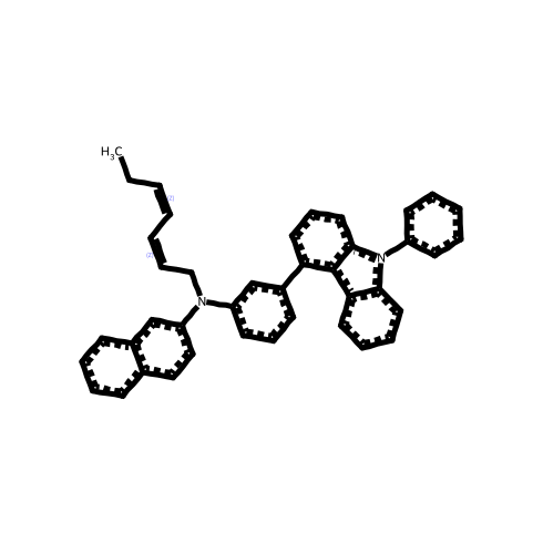 CC/C=C\C=C/CN(c1cccc(-c2cccc3c2c2ccccc2n3-c2ccccc2)c1)c1ccc2ccccc2c1